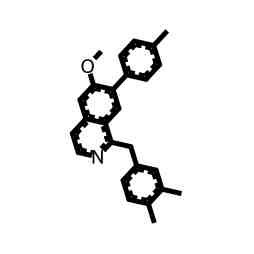 COc1cc2ccnc(Cc3ccc(C)c(C)c3)c2cc1-c1ccc(C)cc1